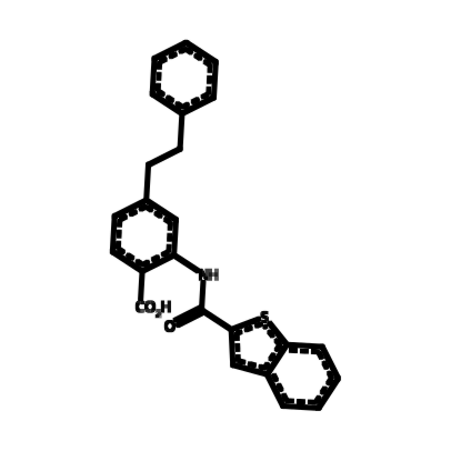 O=C(Nc1cc(CCc2ccccc2)ccc1C(=O)O)c1cc2ccccc2s1